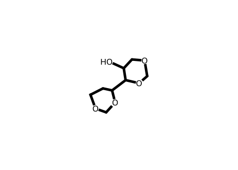 OC1COCOC1C1CCOCO1